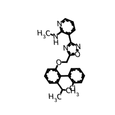 CNc1ncccc1-c1noc(COc2cccc(C(C)C)c2-c2ccccc2Cl)n1